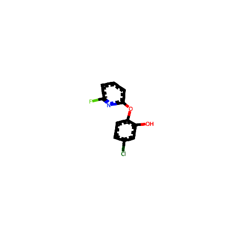 Oc1cc(Cl)ccc1Oc1cccc(F)n1